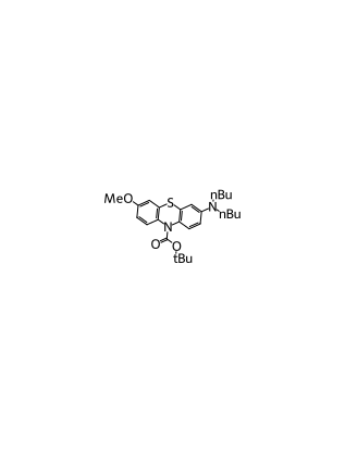 CCCCN(CCCC)c1ccc2c(c1)Sc1cc(OC)ccc1N2C(=O)OC(C)(C)C